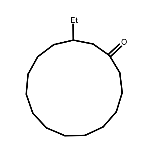 CCC1CCCCCCCCCCCCC(=O)C1